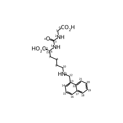 O=C(O)CNC(=O)N[C@@H](CCCCNCc1cccc2ccccc12)C(=O)O